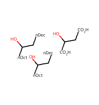 CCCCCCCCCCCC(O)CCCCCCCC.CCCCCCCCCCCC(O)CCCCCCCC.O=C(O)CC(O)C(=O)O